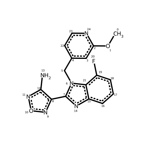 COc1cc(Cn2c(-c3nonc3N)nc3cccc(F)c32)ccn1